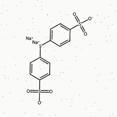 O=S(=O)([O-])c1ccc(Sc2ccc(S(=O)(=O)[O-])cc2)cc1.[Na+].[Na+]